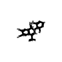 C=C(C)c1nn(-c2c(F)cccc2Cl)c(=O)c2cc(F)c(F)cc12